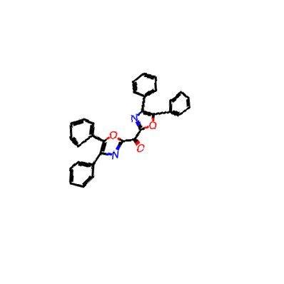 O=C(c1nc(-c2ccccc2)c(-c2ccccc2)o1)c1nc(-c2ccccc2)c(-c2ccccc2)o1